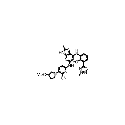 COc1c(Nc2cc(Nc3ccc(N4CCC(OC)C4)c(C#N)n3)nc3[nH]c(C)nc23)cccc1-c1nnn(C)n1